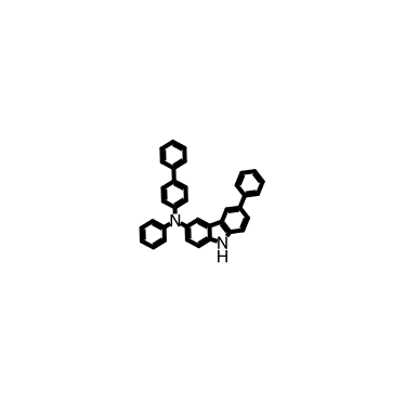 c1ccc(-c2ccc(N(c3ccccc3)c3ccc4[nH]c5ccc(-c6ccccc6)cc5c4c3)cc2)cc1